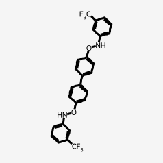 FC(F)(F)c1cccc(NOc2ccc(-c3ccc(ONc4cccc(C(F)(F)F)c4)cc3)cc2)c1